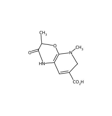 CC1OC2=C(C=C(C(=O)O)CN2C)NC1=O